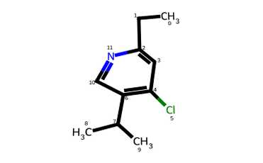 CCc1cc(Cl)c(C(C)C)cn1